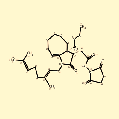 CCOC(=O)[C@@]12CCCCC/C=C\1N(C/C=C(\C)CCC=C(C)C)C(=O)[C@H]2CC(=O)ON1C(=O)CCC1=O